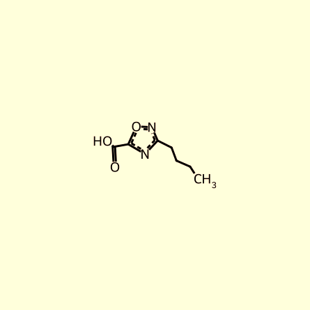 CCCCc1noc(C(=O)O)n1